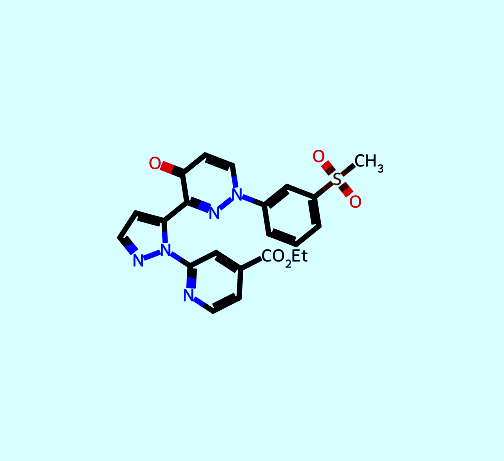 CCOC(=O)c1ccnc(-n2nccc2-c2nn(-c3cccc(S(C)(=O)=O)c3)ccc2=O)c1